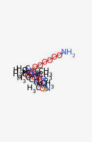 CC[C@H](C)[C@@H]([C@@H](CC(=O)N1CCC[C@H]1[C@H](OC)C(C)C(=O)N[C@@H](Cc1ccccc1)c1nccs1)OC)N(C)C(=O)[C@@H](NC(=O)[C@H](C(C)C)N(C)C(=O)CCOCCOCCOCCOCCOCCOCCN)C(C)C